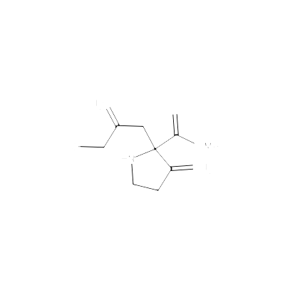 C=C(CCl)CC1(C(=O)OC)NCCC1=C